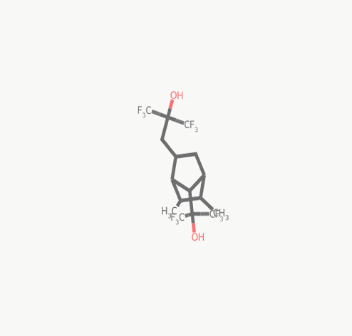 CC1C(C)C2C(CC(O)(C(F)(F)F)C(F)(F)F)CC1C2C(O)(C(F)(F)F)C(F)(F)F